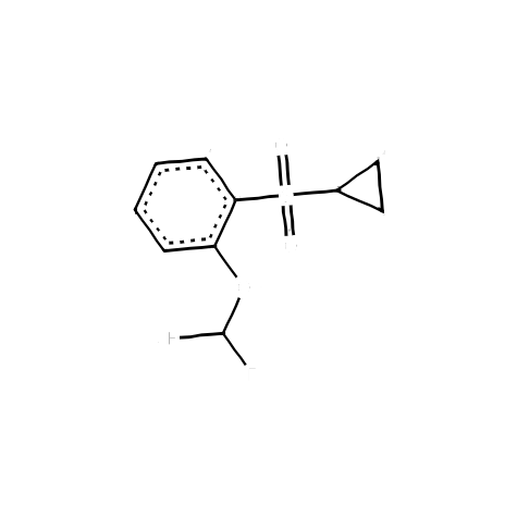 O=S(=O)(c1cc[c]cc1OC(F)F)C1CC1